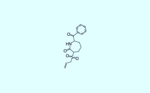 C=CCS(=O)(=O)C1CCCC(C(=O)c2ccccc2)NC1=O